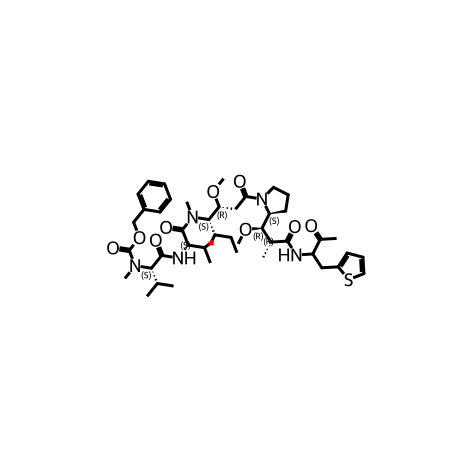 CCC(C)[C@@H]([C@@H](CC(=O)N1CCC[C@H]1[C@H](OC)[C@@H](C)C(=O)NC(Cc1cccs1)C(C)=O)OC)N(C)C(=O)[C@@H](NC(=O)[C@H](C(C)C)N(C)C(=O)OCc1ccccc1)C(C)C